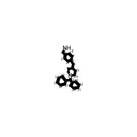 NCc1ccc(CC2CCN(C(c3ccccc3)c3ccccc3)CC2)cc1